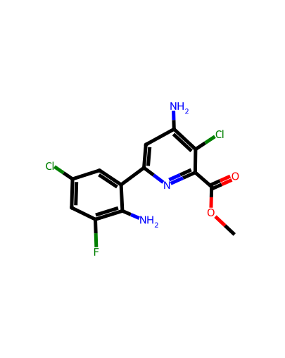 COC(=O)c1nc(-c2cc(Cl)cc(F)c2N)cc(N)c1Cl